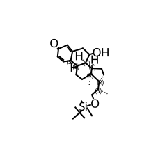 C[C@H](CO[Si](C)(C)C(C)(C)C)[C@H]1CC[C@H]2[C@@H]3C(O)CC4=CC(=O)C=C[C@]4(C)[C@H]3CC[C@]12C